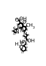 Cc1cc(N2CC(C(O)NCC3(C)CCCCO3)C2)nc2c1c(=O)c(C(=O)O)cn2-c1nccs1